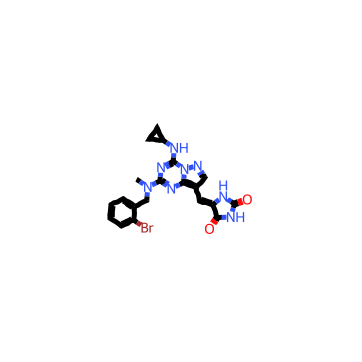 CN(Cc1ccccc1Br)c1nc(NC2CC2)n2ncc(/C=C3\NC(=O)NC3=O)c2n1